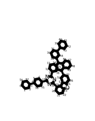 c1ccc(-c2ccc(-c3nc(-c4ccccc4)nc(-c4cccc5oc6ccc(-c7ccc(-c8cccc(-c9ccccc9)c8)c8ccccc78)cc6c45)n3)cc2)cc1